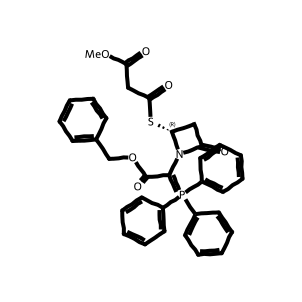 COC(=O)CC(=O)S[C@@H]1CC(=O)N1C(C(=O)OCc1ccccc1)=P(c1ccccc1)(c1ccccc1)c1ccccc1